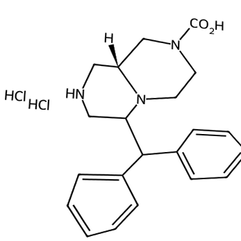 Cl.Cl.O=C(O)N1CCN2C(C(c3ccccc3)c3ccccc3)CNC[C@@H]2C1